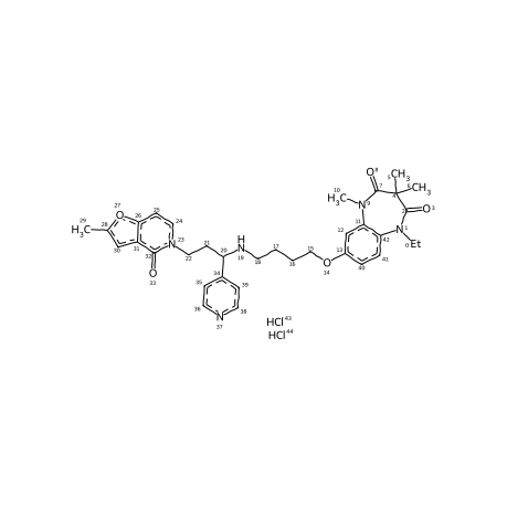 CCN1C(=O)C(C)(C)C(=O)N(C)c2cc(OCCCCNC(CCn3ccc4oc(C)cc4c3=O)c3ccncc3)ccc21.Cl.Cl